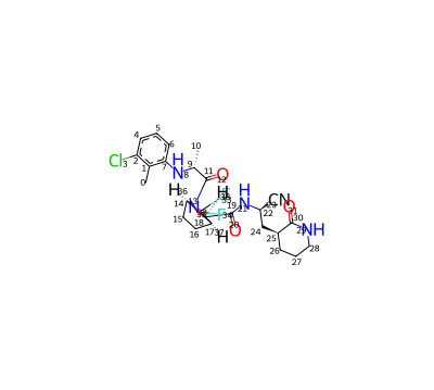 Cc1c(Cl)cccc1N[C@H](C)C(=O)N1[C@@H]2CC[C@H]([C@@H]1C(=O)N[C@@H](C#N)C[C@@H]1CCCNC1=O)C(F)(F)C2